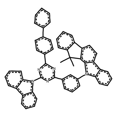 CC1(C)c2ccccc2-c2ccc3c4ccccc4n(-c4cccc(-c5nc(-c6ccc(-c7ccccc7)cc6)nc(-n6c7ccccc7c7ccccc76)n5)c4)c3c21